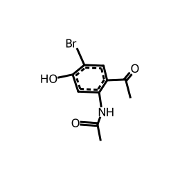 CC(=O)Nc1cc(O)c(Br)cc1C(C)=O